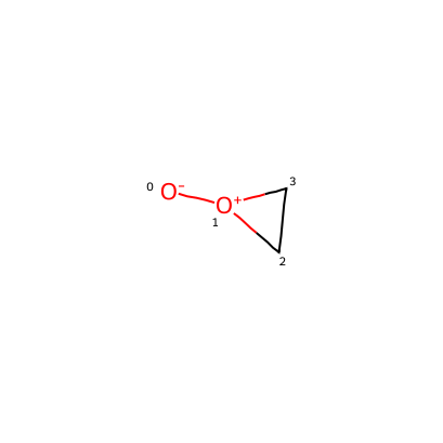 [O-][O+]1CC1